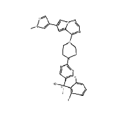 Cn1cc(-c2cc3c(N4CCN(c5ncc([C@](C)(O)c6c(F)cccc6F)cn5)CC4)ncnn3c2)cn1